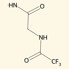 [NH]C(=O)CNC(=O)C(F)(F)F